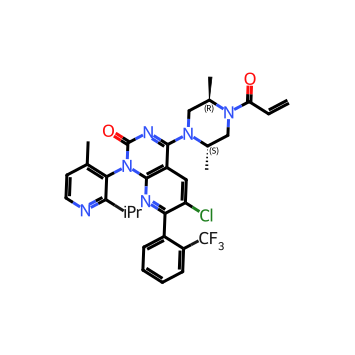 C=CC(=O)N1C[C@H](C)N(c2nc(=O)n(-c3c(C)ccnc3C(C)C)c3nc(-c4ccccc4C(F)(F)F)c(Cl)cc23)C[C@H]1C